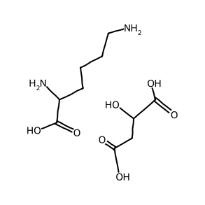 NCCCCC(N)C(=O)O.O=C(O)CC(O)C(=O)O